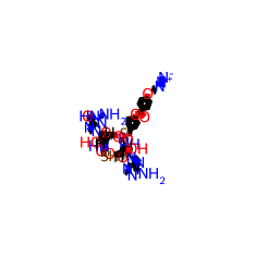 [N-]=[N+]=NCCOc1ccc(C(=O)Oc2ccc(CS[P@@]3(=O)N[C@H]4[C@@H](O)[C@H](n5cnc6c(N)ncnc65)O[C@@H]4CO[P@](=O)(S)N[C@H]4[C@@H](O)[C@H](n5cnc6c(=O)[nH]c(N)nc65)O[C@@H]4CO3)cc2)cc1